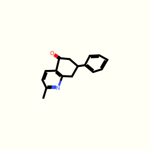 Cc1ccc2c(n1)CC(c1ccccc1)CC2=O